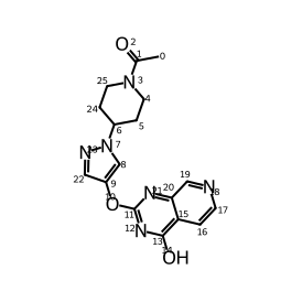 CC(=O)N1CCC(n2cc(Oc3nc(O)c4ccncc4n3)cn2)CC1